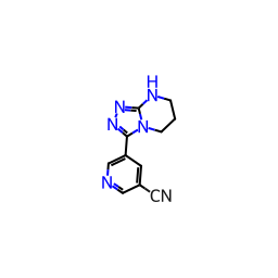 N#Cc1cncc(-c2nnc3n2CCCN3)c1